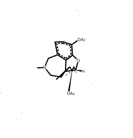 CC(=O)Oc1ccc2c3c1O[C@H]1C[C@@H](OC(C)=O)C(C)[C@@]31CCN(C)C2